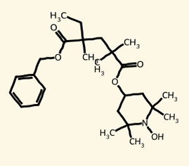 CCC(C)(CC(C)(C)C(=O)OC1CC(C)(C)N(O)C(C)(C)C1)C(=O)OCc1ccccc1